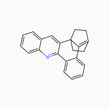 c1ccc2c(c1)C1=C3CCC1(CC3)c1cc3ccccc3nc1-2